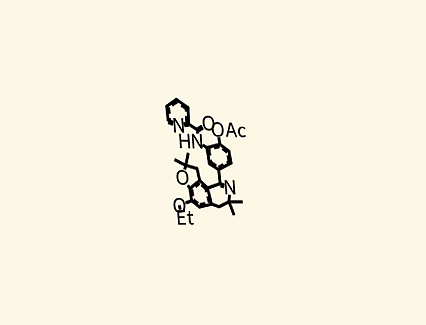 CCOc1cc2c(c3c1OC(C)(C)C3)C(c1ccc(OC(C)=O)c(NC(=O)c3ccccn3)c1)=NC(C)(C)C2